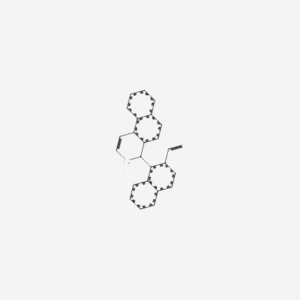 C=Cc1ccc2ccccc2c1C1NC=Cc2c1ccc1ccccc21